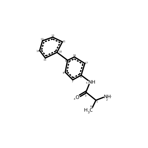 CC([NH])C(=O)Nc1ccc(-c2ccccc2)cc1